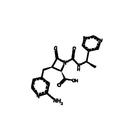 C[C@@H](NC(=O)N1C(=O)[C@H](Cc2ccnc(N)c2)[C@H]1C(=O)O)c1cncnc1